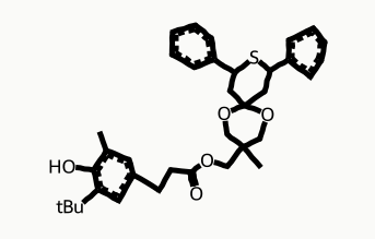 Cc1cc(CCC(=O)OCC2(C)COC3(CC(c4ccccc4)SC(c4ccccc4)C3)OC2)cc(C(C)(C)C)c1O